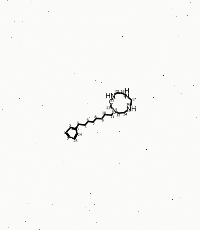 c1ccc(CCCCCCCCN2CCNCCNCCNCC2)cc1